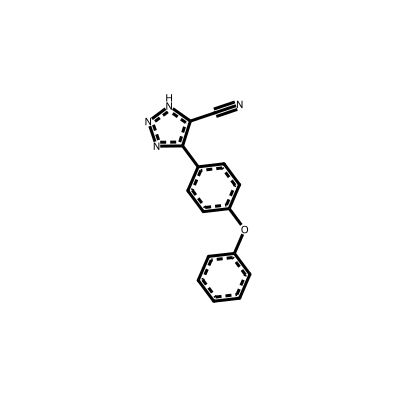 N#Cc1[nH]nnc1-c1ccc(Oc2ccccc2)cc1